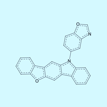 c1ccc2c(c1)oc1cc3c4ccccc4n(-c4ccc5ocnc5c4)c3cc12